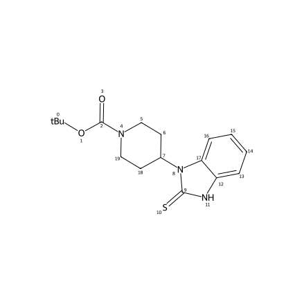 CC(C)(C)OC(=O)N1CCC(n2c(=S)[nH]c3ccccc32)CC1